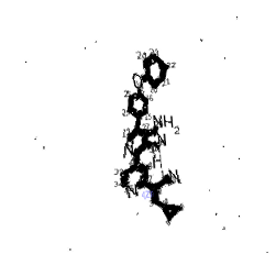 N#C/C(=C\C1CC1)c1cc(-c2ncc(-c3ccc(Oc4ccccc4)cc3)c3c(N)n[nH]c23)ccn1